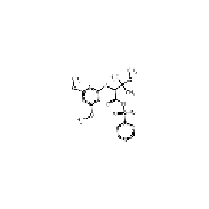 COc1cc(OC)nc(SC(C(=O)NS(=O)(=O)c2ccccn2)C(C)(C)OC)n1